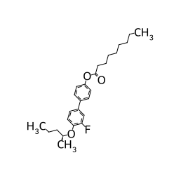 CCCCCCCCC(=O)Oc1ccc(-c2ccc(O[C@@H](C)CCC)c(F)c2)cc1